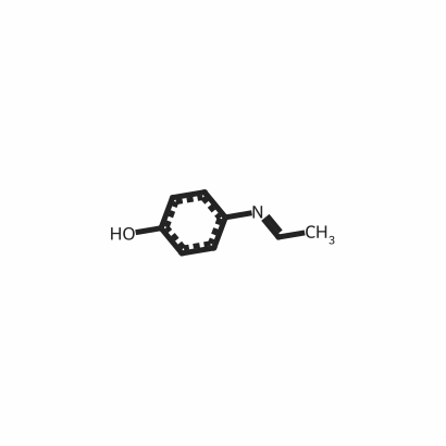 CC=Nc1ccc(O)cc1